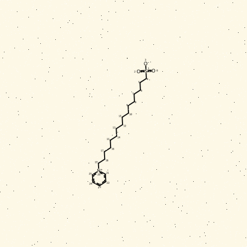 O=S(=O)([O-])CCCCCCCCCCCCCCCC[n+]1ccccc1